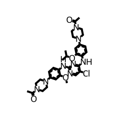 COc1cc(N2CCN(C(C)=O)CC2)ccc1Nc1ncc(Cl)c(Nc2ccc(N3CCN(C(C)=O)CC3)cc2OC(C)C)n1